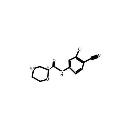 N#Cc1ccc(NC(=O)[C@H]2CNCCO2)cc1Cl